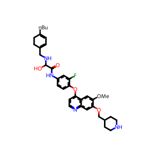 CCCCC1=CC=C(CNC(O)C(=O)Nc2ccc(Oc3ccnc4cc(OCC5CCNCC5)c(OC)cc34)c(F)c2)CC1